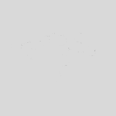 c1ccc(-c2ccc(N(c3ccc4oc5ccc(-c6cccc7c6oc6ccccc67)cc5c4c3)c3cc4ccccc4c4ccccc34)cc2)cc1